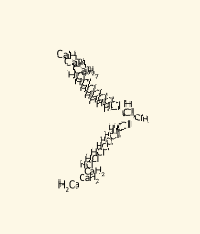 Cl.Cl.Cl.Cl.Cl.Cl.Cl.Cl.Cl.Cl.Cl.Cl.Cl.Cl.Cl.Cl.[CaH2].[CaH2].[CaH2].[CaH2].[CaH2].[CaH2]